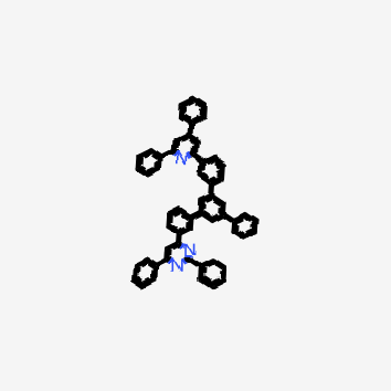 c1ccc(-c2cc(-c3cccc(-c4cc(-c5ccccc5)cc(-c5ccccc5)n4)c3)cc(-c3cccc(-c4cc(-c5ccccc5)nc(-c5ccccc5)n4)c3)c2)cc1